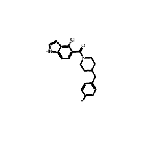 O=C(c1ccc2[nH]ccc2c1Cl)N1CCC(Cc2ccc(F)cc2)CC1